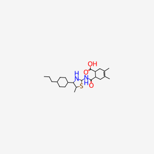 CCCC1CCC(C2NC(NC(=O)C3CC(C)=C(C)CC3C(=O)O)SC2C)CC1